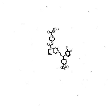 CC(C)(C)OC(=O)N1CCN(CC(=O)N(CC2CC2)C2CCN(CC[C@@H](c3ccc(F)c(F)c3)C3CCN(S(C)(=O)=O)CC3)CC2)CC1